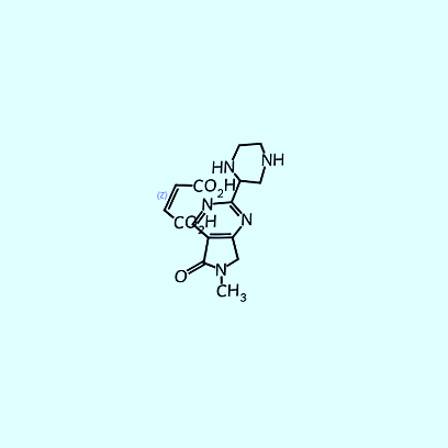 CN1Cc2nc(C3CNCCN3)ncc2C1=O.O=C(O)/C=C\C(=O)O